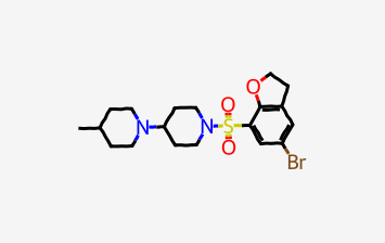 CC1CCN(C2CCN(S(=O)(=O)c3cc(Br)cc4c3OCC4)CC2)CC1